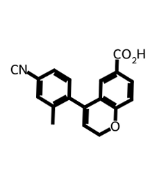 [C-]#[N+]c1ccc(C2=CCOc3ccc(C(=O)O)cc32)c(C)c1